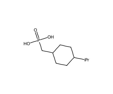 CC(C)C1CCC(CP(=O)(O)O)CC1